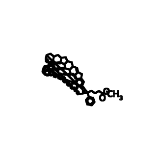 COC(=O)CCCC1(c2ccccc2)C2c3cc4c5c6c7c8c9c%10c%11c%12c%13c%14c(c%15c3c5c8c%15c%13%10)C21CC%14CC%12CC1CC2CC(C=C6C4)C7C=9C2C=%111